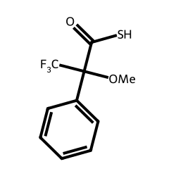 COC(C(=O)S)(c1ccccc1)C(F)(F)F